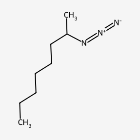 CCCCCCC(C)N=[N+]=[N-]